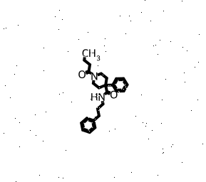 CCCC(=O)N1CCC(C(=O)NCCCc2ccccc2)(c2ccccc2)CC1